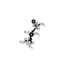 Cc1cc(-c2cc(C(N)=O)c(NC(N)=O)s2)cc(C)c1C=CCN[C@@H](CC(C)C)C(=O)OC1CCCC1